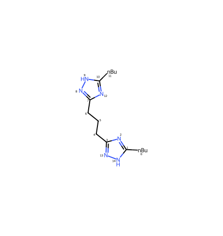 CCCCc1nc(CCCc2n[nH]c(CCCC)n2)n[nH]1